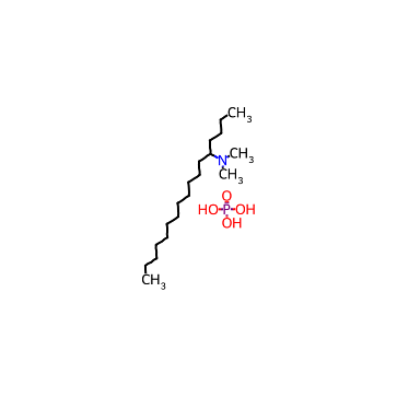 CCCCCCCCCCCCC(CCCC)N(C)C.O=P(O)(O)O